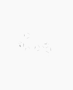 Cn1nnc(C(=O)NCc2ccc(-n3cnc4cc(F)c(F)cc43)cc2)c1Cc1ccccc1